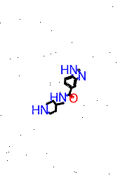 O=C(NCC1CCNCC1)c1ccc2[nH]cnc2c1